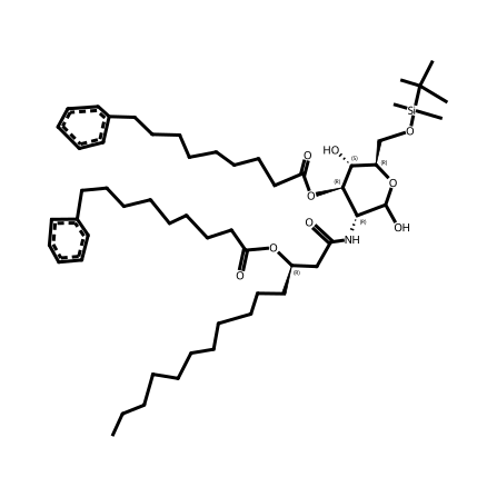 CCCCCCCCCCC[C@H](CC(=O)N[C@H]1C(O)O[C@H](CO[Si](C)(C)C(C)(C)C)[C@@H](O)[C@@H]1OC(=O)CCCCCCCCc1ccccc1)OC(=O)CCCCCCCCc1ccccc1